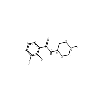 Cc1c(I)cccc1C(=O)NC1CCN(C)CC1